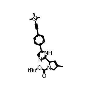 CC1=CC(c2ncc(-c3ccc(C#C[Si](C)(C)C)cc3)[nH]2)N(C(=O)OC(C)(C)C)C1